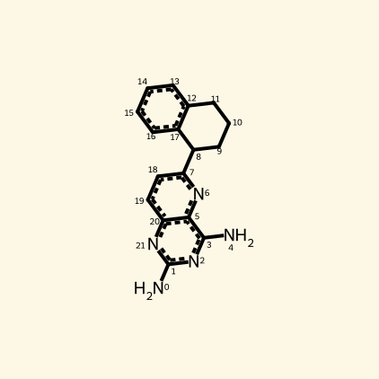 Nc1nc(N)c2nc(C3CCCc4ccccc43)ccc2n1